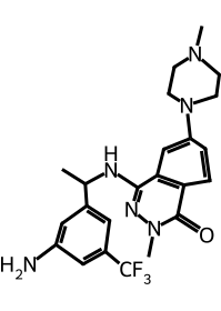 CC(Nc1nn(C)c(=O)c2ccc(N3CCN(C)CC3)cc12)c1cc(N)cc(C(F)(F)F)c1